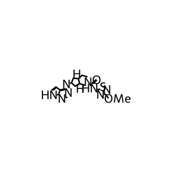 COc1nsc(NC(=O)N2CC[C@H]3CC(N(C)c4ncnc5[nH]ccc45)C[C@H]3C2)n1